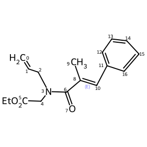 C=CCN(CC(=O)OCC)C(=O)/C(C)=C/c1ccccc1